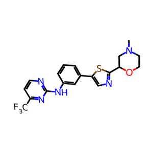 CN1CCOC(c2ncc(-c3cccc(Nc4nccc(C(F)(F)F)n4)c3)s2)C1